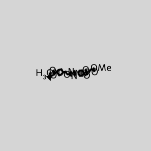 COC(=O)CCS(=O)(=O)N1CCN(c2cnc(OCC3CCN(C(=O)OC4(C)CC4)CC3)cn2)CC1